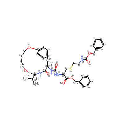 CC(C)[C@H]1COCCCCOc2ccc(cc2)C[C@@H](NC(=O)N[C@@H](CSCCNC(=O)OCc2ccccc2)C(=O)OCc2ccccc2)C(=O)N1